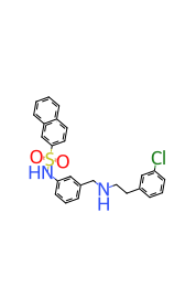 O=S(=O)(Nc1cccc(CNCCc2cccc(Cl)c2)c1)c1ccc2ccccc2c1